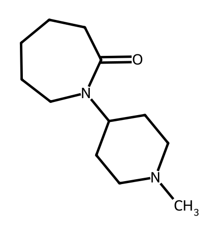 CN1CCC(N2CCCCCC2=O)CC1